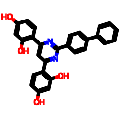 Oc1ccc(-c2cc(-c3ccc(O)cc3O)nc(-c3ccc(-c4ccccc4)cc3)n2)c(O)c1